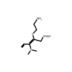 C=C/C(=C(/CCCCCCCC)SCCN)P(C)C